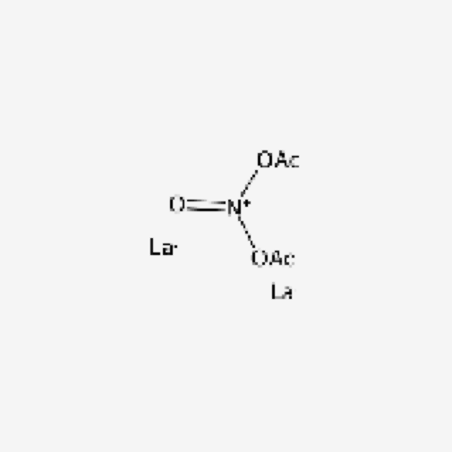 CC(=O)O[N+](=O)OC(C)=O.[La].[La]